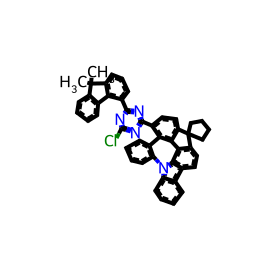 CC1(C)c2ccccc2-c2c(-c3nc(Cl)nc(-c4ccc5c6c4-c4ccccc4-n4c7ccccc7c7ccc(c-6c74)C54CCCC4)n3)cccc21